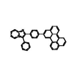 C1=CC2=C3CC=Cc4cccc(c43)C3=CC(c4ccc(-c5nc6ccccn6c5-c5ccccc5)cc4)=CC(=C1)C32